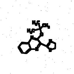 CC(C)(C)Oc1nc2ccccc2nc1C1=NCCS1